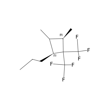 CCC[C@H]1C(C)[C@@H](C)C1(C(F)(F)F)C(F)(F)F